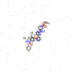 Cc1c(NC(=O)CC2CCCCC2)ccc(Oc2ncccc2-c2ccnc(N[C@H]3CCCN(C(=O)OC(C)(C)C)C3)n2)c1C